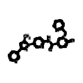 O=C(Nc1ccc(-n2nc(-c3cccnc3)cc2C(F)(F)F)cn1)c1ccc(=O)n(Cc2ccccn2)c1